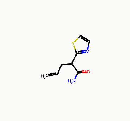 C=CCC(C(N)=O)c1nccs1